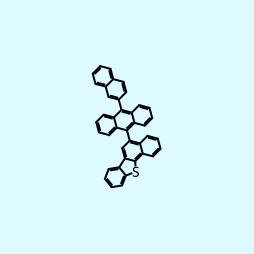 c1ccc2cc(-c3c4ccccc4c(-c4cc5c6ccccc6sc5c5ccccc45)c4ccccc34)ccc2c1